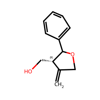 C=C1COC(c2ccccc2)[C@H]1CO